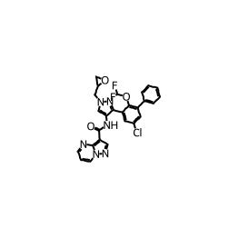 O=C(Nc1cn(CC2CO2)nc1-c1cc(Cl)cc(-c2ccccc2)c1OC(F)F)c1cnn2cccnc12